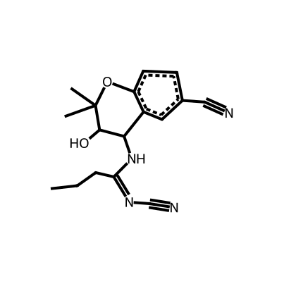 CCC/C(=N/C#N)NC1c2cc(C#N)ccc2OC(C)(C)C1O